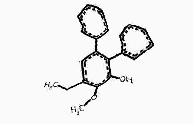 CCc1[c]c(-c2ccccc2)c(-c2ccccc2)c(O)c1OC